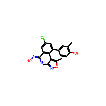 Cc1cc(-c2cc(Cl)cc(/C(N)=N/O)c2-c2c(C)noc2C)ccc1O